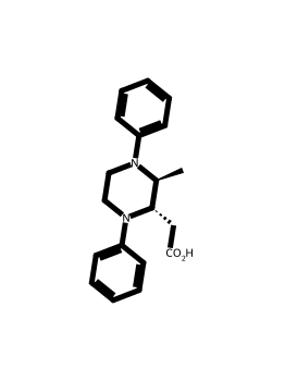 C[C@H]1[C@H](CC(=O)O)N(c2ccccc2)CCN1c1ccccc1